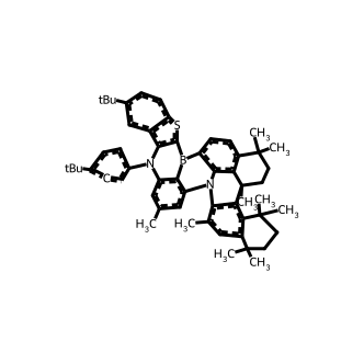 Cc1cc2c3c(c1)N(c1ccc(C(C)(C)C)cc1)c1c(sc4ccc(C(C)(C)C)cc14)B3c1ccc3c4c1N2c1c(C)cc2c(c1C4(C)CCC3(C)C)C(C)(C)CCC2(C)C